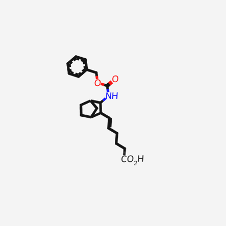 O=C(O)CCCC=CC1C2CCC(C2)C1NC(=O)OCc1ccccc1